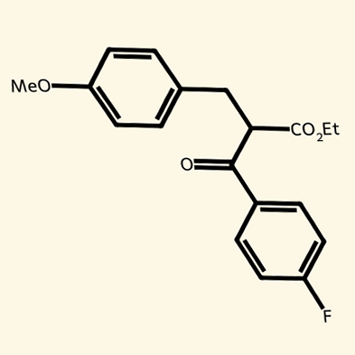 CCOC(=O)C(Cc1ccc(OC)cc1)C(=O)c1ccc(F)cc1